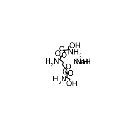 N[C@@H](CO)C(=O)OC(=O)CC[C@H](N)C(=O)OC(=O)[C@@H](N)CO.[NaH].[NaH]